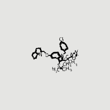 CC(C)(C)Sc1c(CC(C)(C)c2nn[c]o2)n(Cc2ccc(Cl)cc2)c2ccc(OCc3ccc4ccccc4n3)cc12